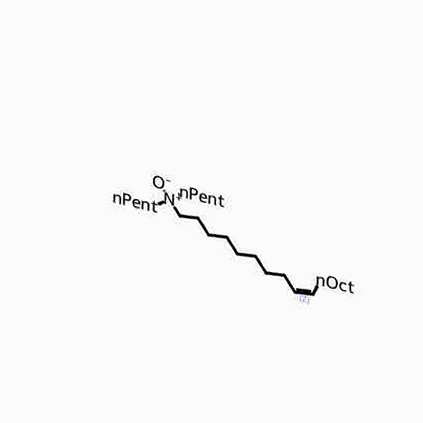 CCCCCCCC/C=C\CCCCCCCC[N+]([O-])(CCCCC)CCCCC